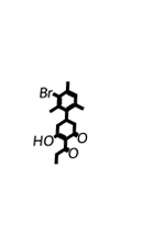 CCC(=O)C1=C(O)CC(c2c(C)cc(C)c(Br)c2C)CC1=O